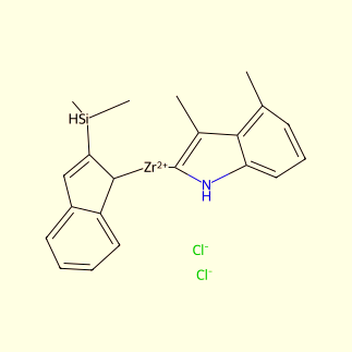 Cc1cccc2[nH][c]([Zr+2][CH]3C([SiH](C)C)=Cc4ccccc43)c(C)c12.[Cl-].[Cl-]